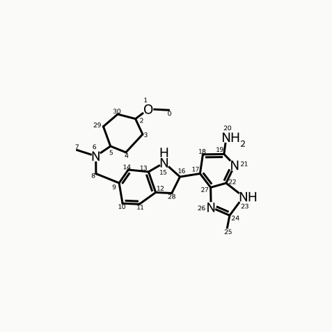 COC1CCC(N(C)Cc2ccc3c(c2)NC(c2cc(N)nc4[nH]c(C)nc24)C3)CC1